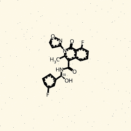 Cc1c(C(=O)N[C@@H](O)c2cccc(F)c2)c2cccc(F)c2c(=O)n1-c1ccon1